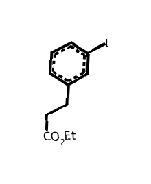 CCOC(=O)CCc1cccc(I)c1